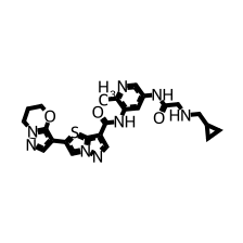 Cc1ncc(NC(=O)CNCC2CC2)cc1NC(=O)c1cnn2cc(-c3cnn4c3OCCC4)sc12